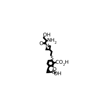 N[C@@H](CO)C(=O)N1CC(CCSc2ccc3c(c2C(=O)O)OB(O)C2CC32)C1